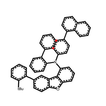 CC(C)(C)c1ccccc1-c1ccc2oc3cccc(N(c4ccc(-c5cccc6ccccc56)cc4)c4ccccc4-c4ccccc4)c3c2c1